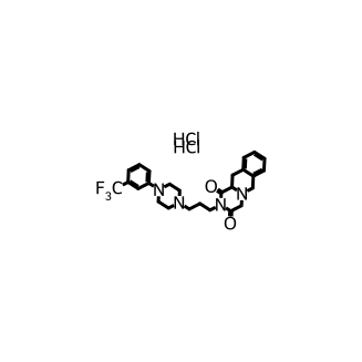 Cl.Cl.O=C1CN2Cc3ccccc3CC2C(=O)N1CCCN1CCN(c2cccc(C(F)(F)F)c2)CC1